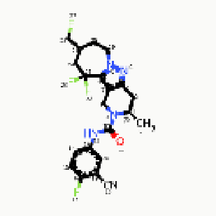 C[C@@H]1Cc2nn3c(c2CN1C(=O)Nc1ccc(F)c(C#N)c1)C(F)(F)CC(CF)CC3